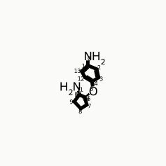 Nc1ccc(O[C@H]2CCC[C@H]2N)cc1